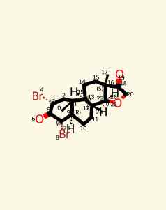 C[C@]12C[C@@H](Br)C(=O)[C@@H](Br)[C@@H]1CC[C@@H]1[C@@H]2CC[C@]2(C)C(=O)CO[C@@H]12